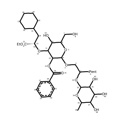 CCCC(C)C(COC1OC(CO)C(O)C(O[C@@H](CC2CCCCC2)C(=O)OCC)C1OC(=O)c1ccccc1)OC1OC(C)C(O)C(O)C1O